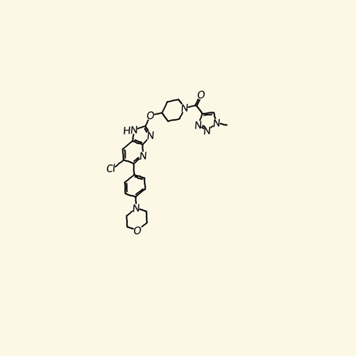 Cn1cc(C(=O)N2CCC(Oc3nc4nc(-c5ccc(N6CCOCC6)cc5)c(Cl)cc4[nH]3)CC2)nn1